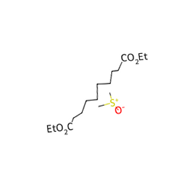 CCOC(=O)CCCCCCCCC(=O)OCC.C[S+](C)[O-]